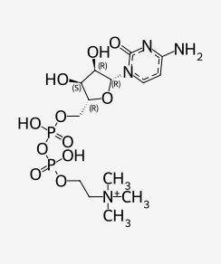 C[N+](C)(C)CCOP(=O)(O)OP(=O)(O)OC[C@H]1O[C@@H](n2ccc(N)nc2=O)[C@H](O)[C@@H]1O